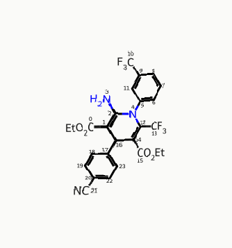 CCOC(=O)C1=C(N)N(c2cccc(C(F)(F)F)c2)C(C(F)(F)F)=C(C(=O)OCC)C1c1ccc(C#N)cc1